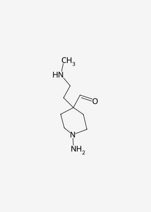 CNCCC1(C=O)CCN(N)CC1